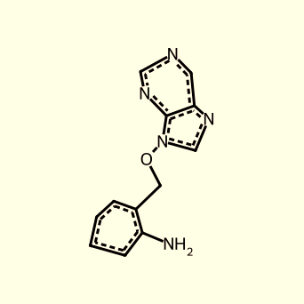 Nc1ccccc1COn1cnc2cncnc21